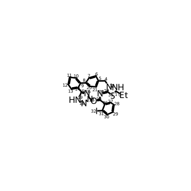 CCC1NN(Cc2ccc(-c3ccccc3-c3nnn[nH]3)cc2)C(=NC(=O)c2ccccc2I)S1